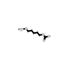 COCCCCCOC([O])=O